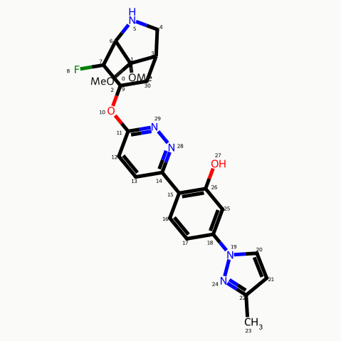 COC1(OC)C2CNC1C(F)C(Oc1ccc(-c3ccc(-n4ccc(C)n4)cc3O)nn1)C2